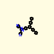 c1ccc(-c2ccc(-c3cc(-c4ccc(-c5ccccc5)cc4)cc(-c4ccc(-c5nc(-c6ccncc6)cc(-c6ccncc6)n5)cc4)c3)cc2)cc1